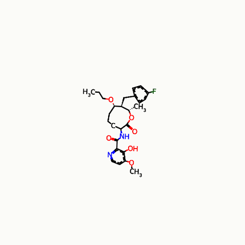 CCCO[C@H]1CCC[C@H](NC(=O)c2nccc(OC)c2O)C(=O)O[C@@H](C)[C@@H]1Cc1ccc(F)cc1